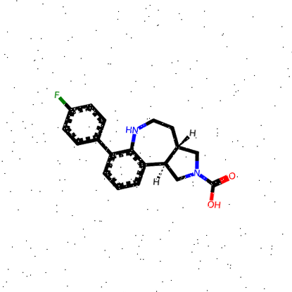 O=C(O)N1C[C@H]2CCNc3c(-c4ccc(F)cc4)cccc3[C@@H]2C1